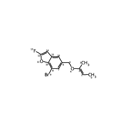 C/C=C(\C)OCc1cc(Br)c2oc(F)cc2c1